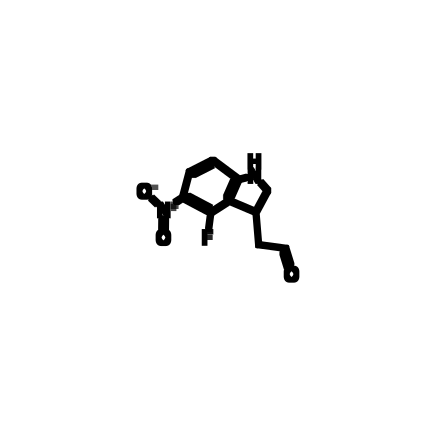 O=CCC1CNc2ccc([N+](=O)[O-])c(F)c21